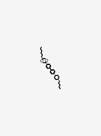 CCCCCC[C@H]1CO[C@H](c2ccc(-c3ccc([C@H]4CC[C@H](CCCCC)CC4)cc3)cc2)CO1